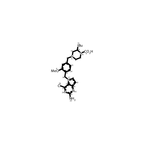 COc1cc(CN2CCN(C(=O)O)C(C(C)(C)C)C2)ccc1Cn1ccc2nc(N)nc(Cl)c21